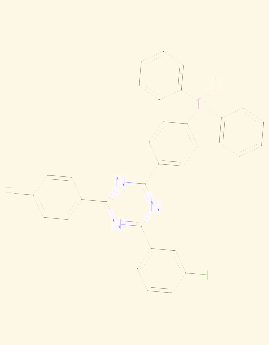 O=P(c1ccccc1)(c1ccccc1)c1ccc(-c2nc(-c3ccc(F)cc3)nc(-c3cccc(F)c3)n2)cc1